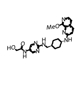 COc1nccc2ccc(N[C@H]3CC[C@H](CNc4ncc(NC(=O)CO)cn4)CC3)nc12